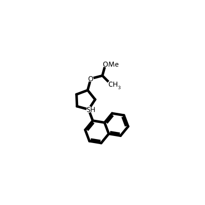 COC(C)OC1CC[SH](c2cccc3ccccc23)C1